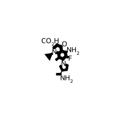 Cc1c(N2CC[C@@H](C(C)N)C2)c(F)c(N)c2c(=O)c(C(=O)O)cn(C3CC3)c12